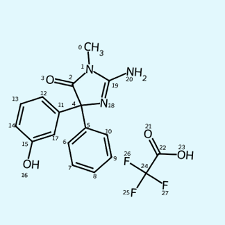 CN1C(=O)C(c2ccccc2)(c2cccc(O)c2)N=C1N.O=C(O)C(F)(F)F